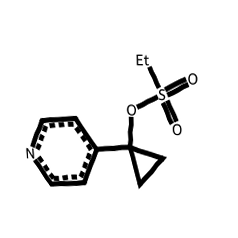 CCS(=O)(=O)OC1(c2ccncc2)CC1